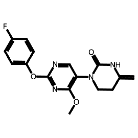 C=C1CCN(c2cnc(Oc3ccc(F)cc3)nc2OC)C(=O)N1